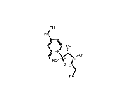 N#C[C@@]1(n2ccc(NO)nc2=O)O[C@H](CO)[C@@H](O)[C@H]1O